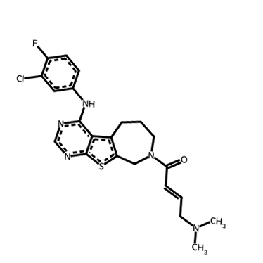 CN(C)C/C=C/C(=O)N1CCCc2c(sc3ncnc(Nc4ccc(F)c(Cl)c4)c23)C1